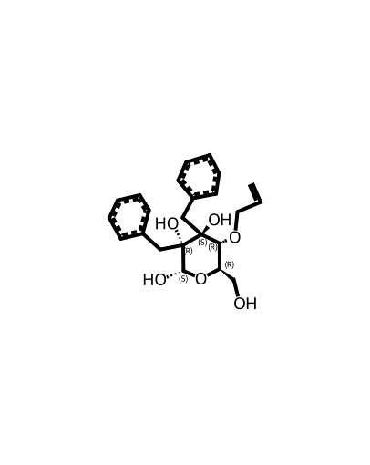 C=CCO[C@@H]1[C@@H](CO)O[C@H](O)[C@@](O)(Cc2ccccc2)[C@]1(O)Cc1ccccc1